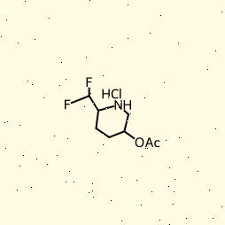 CC(=O)OC1CCC(C(F)F)NC1.Cl